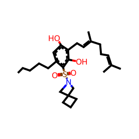 CCCCCc1cc(O)c(C/C=C(\C)CCC=C(C)C)c(O)c1S(=O)(=O)N1CC2(CCC2)C1